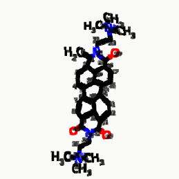 C=c1c2ccc3c4ccc5c6c(ccc(c7ccc(c(=O)n1CC[N+](C)(C)C)c2c37)c64)C(=O)N(CC[N+](C)(C)C)C5=O